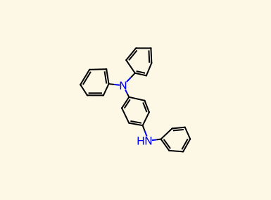 c1ccc(Nc2ccc(N(c3ccccc3)c3ccccc3)cc2)cc1